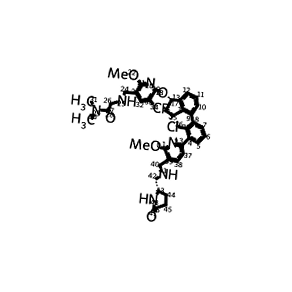 COc1nc(-c2cccc(-c3cccc4c3CC[C@@H]4Oc3nc(OC)c(CNCC(=O)N(C)C)cc3C(F)(F)F)c2Cl)ccc1CNC[C@@H]1CCC(=O)N1